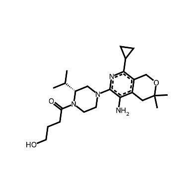 CC(C)[C@@H]1CN(c2nc(C3CC3)c3c(c2N)CC(C)(C)OC3)CCN1C(=O)CCCO